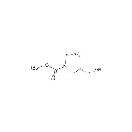 CC(C)(C)OC(=O)N(CCCO)CC(F)(F)F